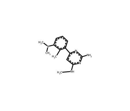 CNc1cc(-c2cccc(N(C)C)c2C)nc(N)n1